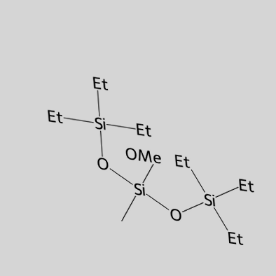 CC[Si](CC)(CC)O[Si](C)(OC)O[Si](CC)(CC)CC